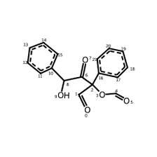 O=[C]C(OC=O)(C(=O)C(O)c1ccccc1)c1ccccc1